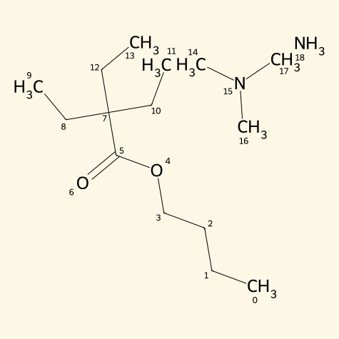 CCCCOC(=O)C(CC)(CC)CC.CN(C)C.N